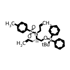 C=CC[C@@H](CO[Si](c1ccccc1)(c1ccccc1)C(C)(C)C)N(CC=C)S(=O)(=O)c1ccc(C)cc1